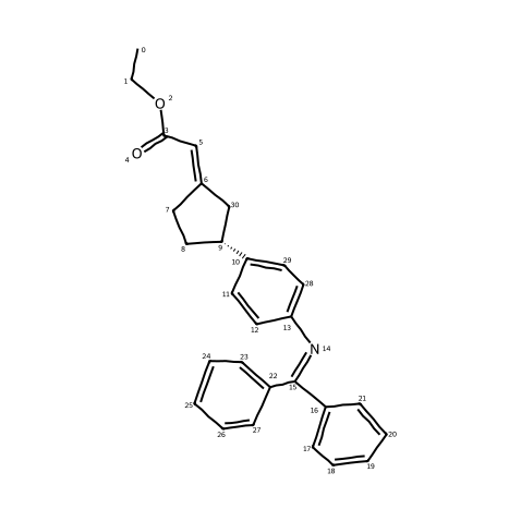 CCOC(=O)/C=C1\CC[C@@H](c2ccc(N=C(c3ccccc3)c3ccccc3)cc2)C1